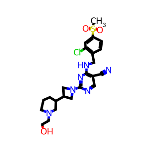 CS(=O)(=O)c1ccc(CNc2nc(N3CC(C4CCCN(CCO)C4)C3)ncc2C#N)c(Cl)c1